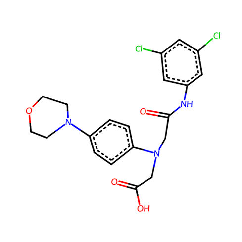 O=C(O)CN(CC(=O)Nc1cc(Cl)cc(Cl)c1)c1ccc(N2CCOCC2)cc1